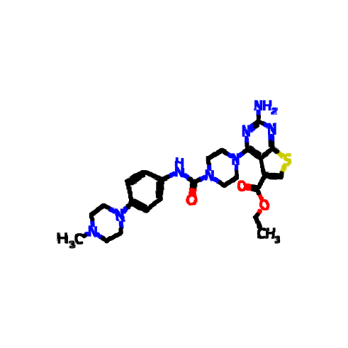 CCOC(=O)c1csc2nc(N)nc(N3CCN(C(=O)Nc4ccc(N5CCN(C)CC5)cc4)CC3)c12